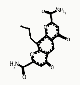 CCCc1c2oc(C(N)=O)cc(=O)c2cc2c(=O)cc(C(N)=O)oc12